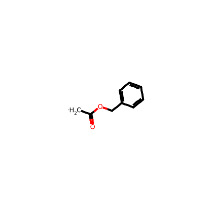 [CH2]C(=O)OCc1ccccc1